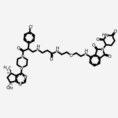 C[C@@H]1C[C@@H](O)c2ncnc(N3CCN(C(=O)C(CNCCC(=O)NCCOCCNc4cccc5c4C(=O)N(C4CCC(=O)NC4=O)C5=O)c4ccc(Cl)cc4)CC3)c21